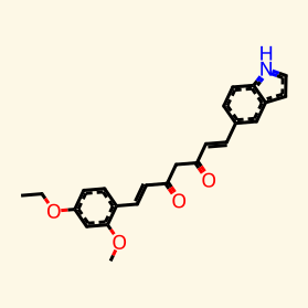 CCOc1ccc(/C=C/C(=O)CC(=O)/C=C/c2ccc3[nH]ccc3c2)c(OC)c1